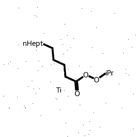 CCCCCCCCCCCC(=O)OOC(C)C.[Ti]